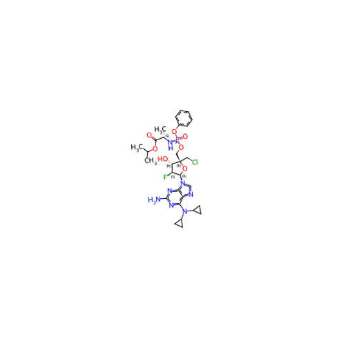 CC(C)OC(=O)[C@H](C)N[P@@](=O)(OC[C@@]1(CCl)O[C@@H](n2cnc3c(N(C4CC4)C4CC4)nc(N)nc32)[C@@H](F)[C@@H]1O)Oc1ccccc1